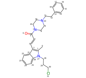 Cc1c(C=CC(=O)N2CCN(CCc3ccccc3)CC2)c2ccccc2n1CCCCl